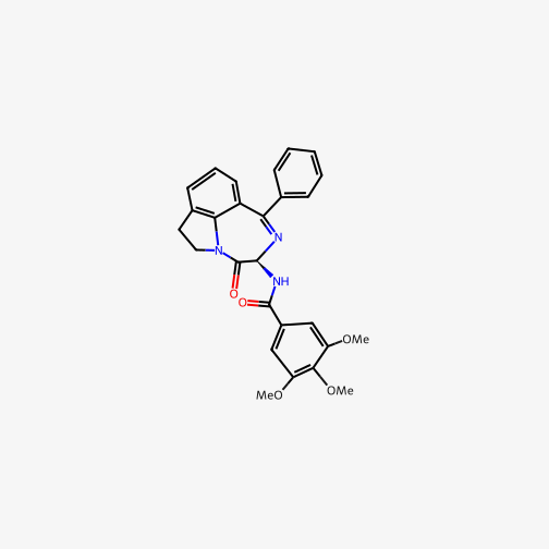 COc1cc(C(=O)N[C@@H]2N=C(c3ccccc3)c3cccc4c3N(CC4)C2=O)cc(OC)c1OC